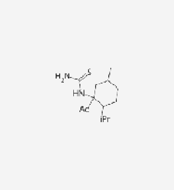 CC(=O)C1(NC(N)=S)CC(C)CCC1C(C)C